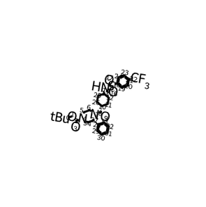 CC(C)(C)OC(=O)N1CCN(C(=O)[C@H]2CC[C@H](NS(=O)(=O)c3ccc(C(F)(F)F)cc3)CC2)[C@@H](c2ccccc2)C1